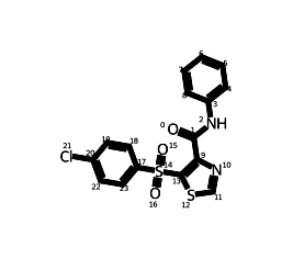 O=C(Nc1ccccc1)c1ncsc1S(=O)(=O)c1ccc(Cl)cc1